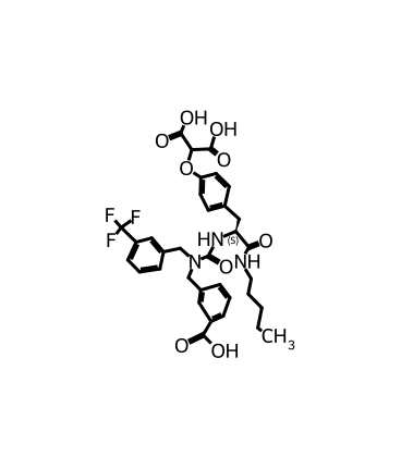 CCCCCNC(=O)[C@H](Cc1ccc(OC(C(=O)O)C(=O)O)cc1)NC(=O)N(Cc1cccc(C(=O)O)c1)Cc1cccc(C(F)(F)F)c1